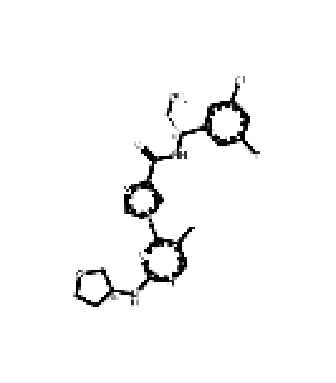 Cc1cnc(N[C@H]2CCOC2)nc1-n1cnc(C(=O)N[C@H](CN)c2cc(F)cc(Cl)c2)c1